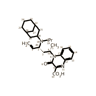 C=C[C@@H](C[C@H](C)n1c(=O)c(C(=O)O)nc2ccccc21)N(C(C)C)C1CC2CCCC(C2)C1